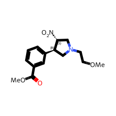 COCCN1C[C@@H]([N+](=O)[O-])[C@H](c2cccc(C(=O)OC)c2)C1